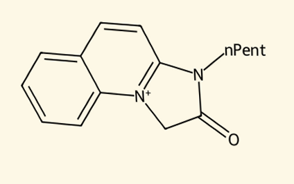 CCCCCN1C(=O)C[n+]2c1ccc1ccccc12